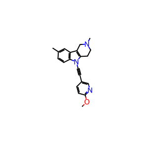 COc1ccc(C#Cn2c3c(c4cc(C)ccc42)CN(C)CC3)cn1